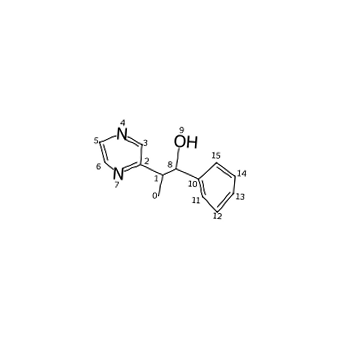 CC(c1cnccn1)C(O)c1ccccc1